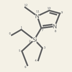 CC[Si](CC)(CC)c1nccn1C